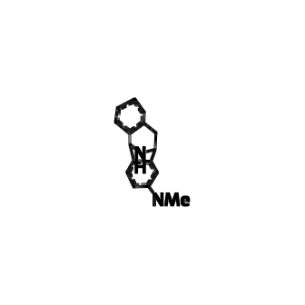 CNc1ccc2c(c1)C1Cc3ccccc3C2N1